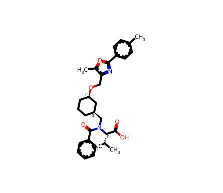 Cc1ccc(-c2nc(CO[C@@H]3CCC[C@H](CN(C(=O)c4ccccc4)[C@H](C(=O)O)C(C)C)C3)c(C)o2)cc1